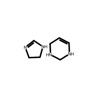 C1=CNCNC1.C1=NCCN1